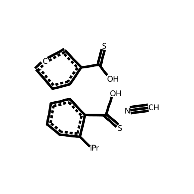 C#N.CC(C)c1ccccc1C(O)=S.OC(=S)c1ccccc1